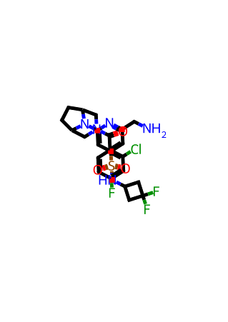 NCc1cc(S(=O)(=O)NC2CC(F)(F)C2)cc(N2C3CCC2CN(C(=O)c2ccc(F)cc2Cl)C3)n1